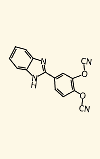 N#COc1ccc(-c2nc3ccccc3[nH]2)cc1OC#N